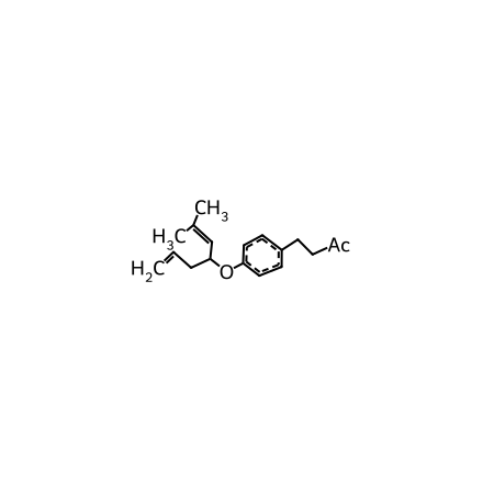 C=CCC(C=C(C)C)Oc1ccc(CCC(C)=O)cc1